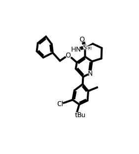 Cc1cc(C(C)(C)C)c(Cl)cc1-c1cc(OCc2ccccc2)c2c(n1)CCC[S@@]2(=N)=O